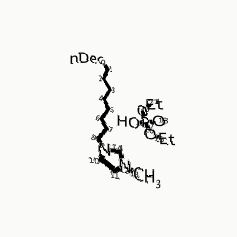 CCCCCCCCCCCCCCCCCCN1C=CN(C)C1.CCOP(=O)(O)OCC